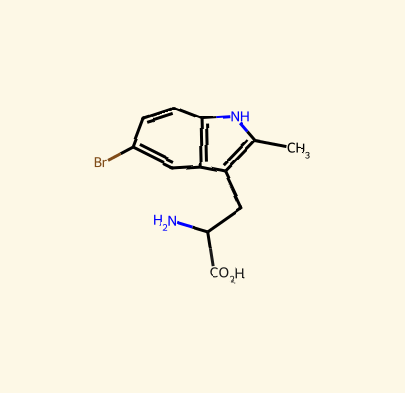 Cc1[nH]c2ccc(Br)cc2c1CC(N)C(=O)O